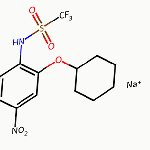 O=[N+]([O-])c1ccc(NS(=O)(=O)C(F)(F)F)c(OC2CCCCC2)c1.[Na+]